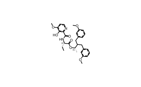 CC[C@H](NC(=O)c1nccc(OC)c1O)C(=O)O[C@@H](C)C(Cc1cccc(OC)c1)Cc1cccc(OC)c1